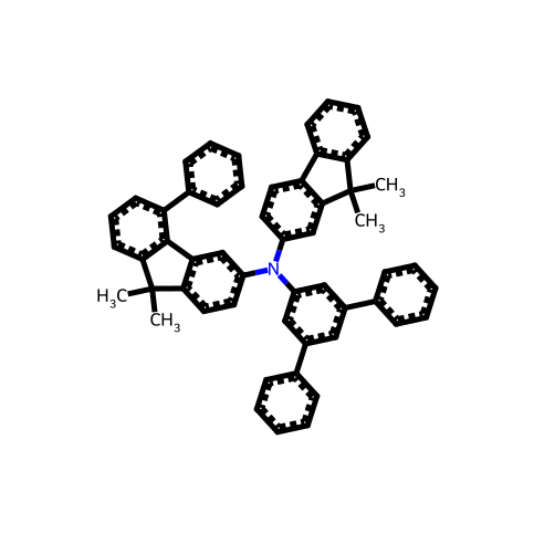 CC1(C)c2ccccc2-c2ccc(N(c3cc(-c4ccccc4)cc(-c4ccccc4)c3)c3ccc4c(c3)-c3c(-c5ccccc5)cccc3C4(C)C)cc21